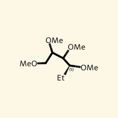 CC[C@H](OC)C(OC)C(COC)OC